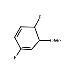 COC1C=C(F)C=CC1F